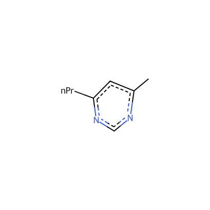 CCCc1cc(C)ncn1